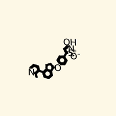 Cc1ncccc1-c1cccc2c1CC[C@H]2Oc1ccc(-c2cc(O)n[s+]2[O-])cc1